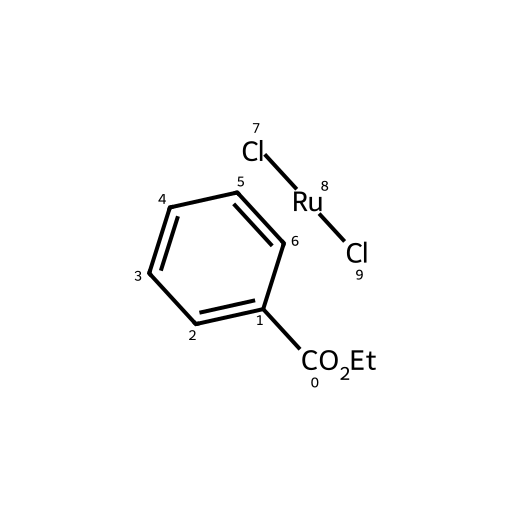 CCOC(=O)c1ccccc1.[Cl][Ru][Cl]